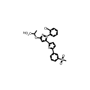 CC(Oc1cc(-c2ccc(-c3cccc(S(C)(=O)=O)c3)s2)n(-c2ccccc2Cl)n1)C(=O)O